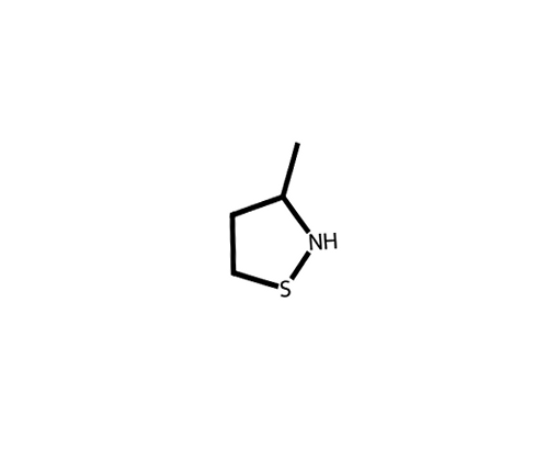 CC1CCSN1